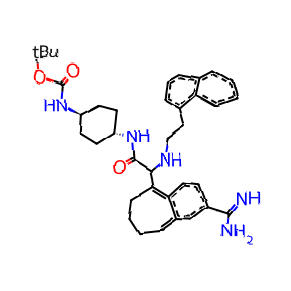 CC(C)(C)OC(=O)N[C@H]1CC[C@H](NC(=O)C(NCCc2cccc3ccccc23)C2=c3ccc(C(=N)N)cc3=CCCC2)CC1